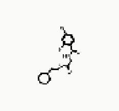 CCc1ccc(C(=O)NCC(=O)OCCC2CCCCC2)c(F)c1